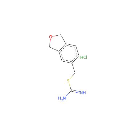 Cl.N=C(N)SCc1ccc2c(c1)COC2